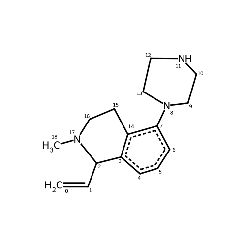 C=CC1c2cccc(N3CCNCC3)c2CCN1C